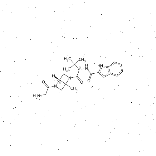 CC(C)(C)[C@H](NC(=O)c1cc2ccccc2[nH]1)C(=O)N1C[C@H]2N(C(=O)CN)CC21C